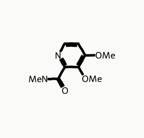 CNC(=O)c1nccc(OC)c1OC